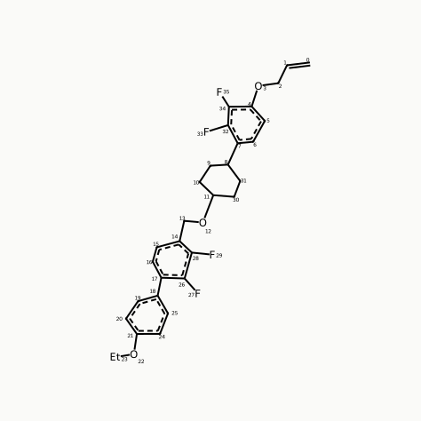 C=CCOc1ccc(C2CCC(OCc3ccc(-c4ccc(OCC)cc4)c(F)c3F)CC2)c(F)c1F